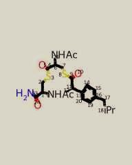 CC(=O)NC(CSC(=O)C(CSC(=O)[C@H](C)c1ccc(CC(C)C)cc1)NC(C)=O)C(N)=O